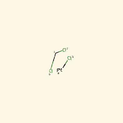 ClCCl.[Cl][Pt]